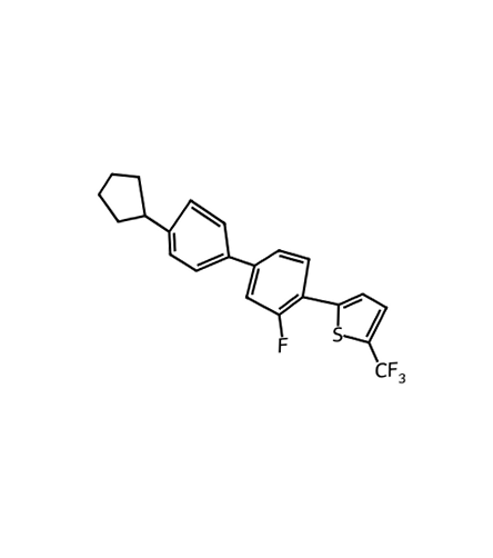 Fc1cc(-c2ccc(C3CCCC3)cc2)ccc1-c1ccc(C(F)(F)F)s1